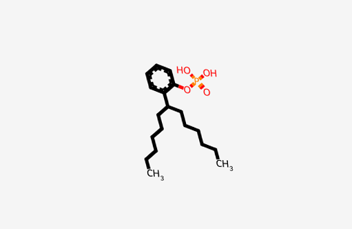 CCCCCCC(CCCCCC)c1ccccc1OP(=O)(O)O